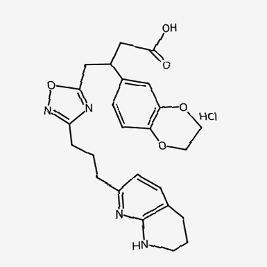 Cl.O=C(O)CC(Cc1nc(CCCc2ccc3c(n2)NCCC3)no1)c1ccc2c(c1)OCCO2